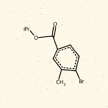 Cc1cc(C(=O)OC(C)C)ccc1Br